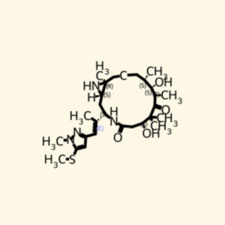 CSc1cc(/C=C(\C)[C@@H]2C[C@@H]3N[C@]3(C)CCC[C@H](C)[C@H](O)[C@@H](C)C(=O)C(C)(C)[C@@H](O)CC(=O)N2)nn1C